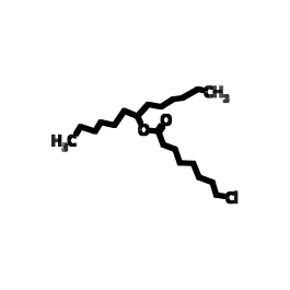 CCCCCCC(CCCCCC)OC(=O)CCCCCCCCl